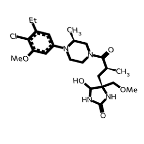 CCc1cc(N2CCN(C(=O)[C@@H](C)C[C@@]3(COC)NC(=O)NC3O)C[C@@H]2C)cc(OC)c1Cl